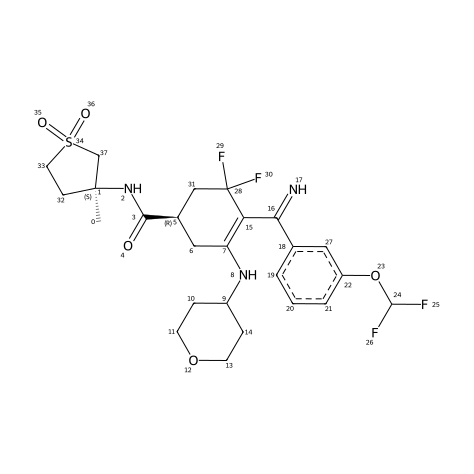 C[C@]1(NC(=O)[C@@H]2CC(NC3CCOCC3)=C(C(=N)c3cccc(OC(F)F)c3)C(F)(F)C2)CCS(=O)(=O)C1